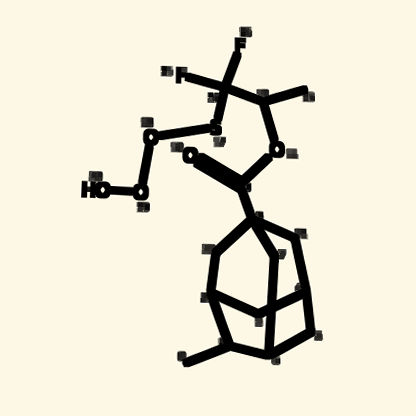 CC1C2CC3CC1CC(C(=O)OC(C)C(F)(F)SOOO)(C3)C2